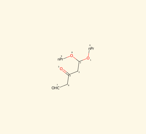 CCCOC(CC(=O)CC=O)OCCC